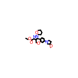 CCOC(=O)c1nn(C2CCCCO2)c2c1COc1cc(N3CC[C@H](OC)C3)ccc1-2